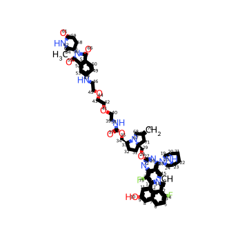 C#Cc1c(F)ccc2cc(O)cc(-c3ncc4c(N5CC6CCC(C5)N6)nc(OC[C@@]56CC[C@@H](COC(=O)NCCOCCOCCNc7ccc8c(c7)C(=O)N(C7CCC(=O)NC7C)C8=O)N5CC(=C)C6)nc4c3F)c12